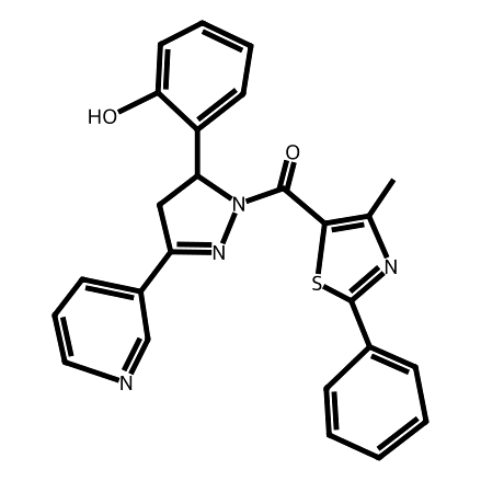 Cc1nc(-c2ccccc2)sc1C(=O)N1N=C(c2cccnc2)CC1c1ccccc1O